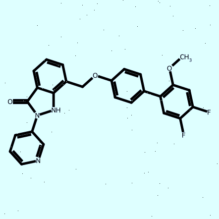 COc1cc(F)c(F)cc1-c1ccc(OCc2cccc3c(=O)n(-c4cccnc4)[nH]c23)cc1